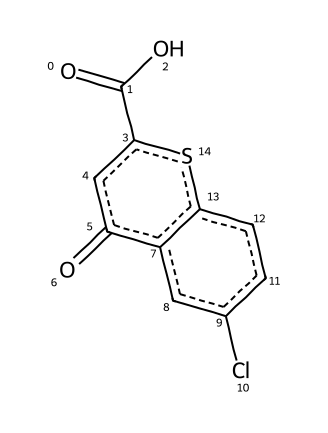 O=C(O)c1cc(=O)c2cc(Cl)ccc2s1